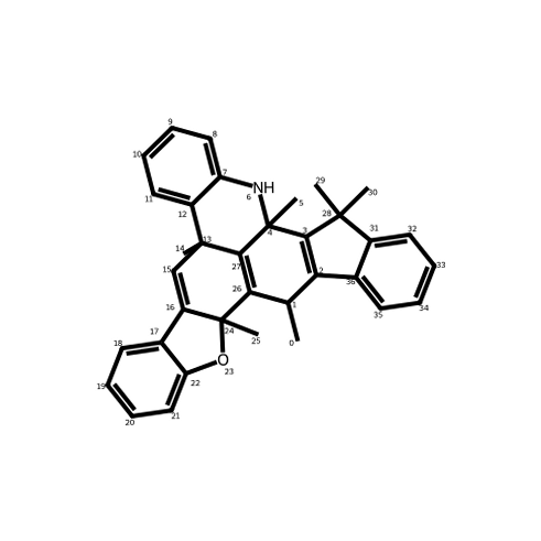 CC1C2=C(C3(C)Nc4ccccc4C4(C)C=C5c6ccccc6OC5(C)C1=C34)C(C)(C)c1ccccc12